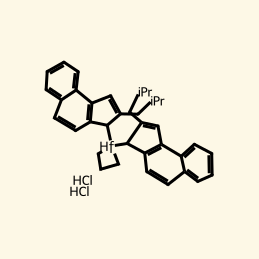 CC(C)CC1=Cc2c(ccc3ccccc23)[CH]1[Hf]1([CH]2C(CC(C)C)=Cc3c2ccc2ccccc32)[CH2]C[CH2]1.Cl.Cl